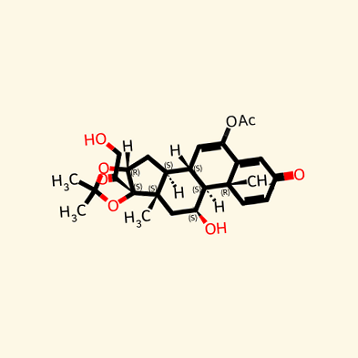 CC(=O)OC1=C[C@@H]2[C@H]([C@@H](O)C[C@@]3(C)[C@H]2C[C@H]2OC(C)(C)O[C@]23C(=O)CO)[C@@]2(C)C=CC(=O)C=C12